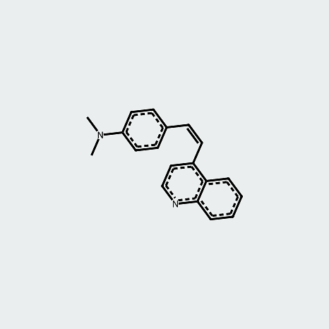 CN(C)c1ccc(/C=C\c2ccnc3ccccc23)cc1